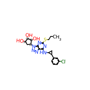 CCCSc1nc(NC2CC2c2cccc(Cl)c2)c2nnn([C@H]3C[C@@H](O)[C@H](O)[C@@H]3O)c2n1